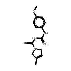 COc1ccc(NC(=N)NC(=N)N2CC=C(C)C2)cc1